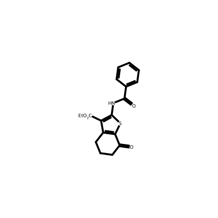 CCOC(=O)c1c(NC(=O)c2ccccc2)sc2c1CCCC2=O